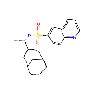 CC(NS(=O)(=O)c1ccc2ncccc2c1)C1CC2CCCC(C2)C1